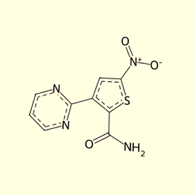 NC(=O)c1sc([N+](=O)[O-])cc1-c1ncccn1